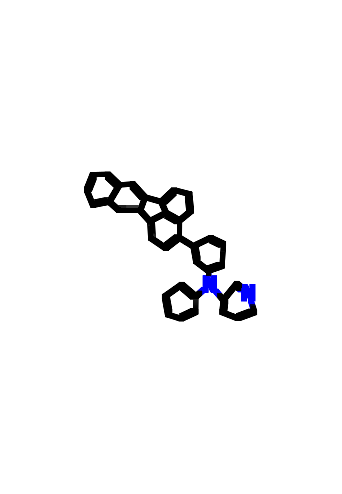 c1ccc(N(c2cccnc2)c2cccc(-c3ccc4c5c(cccc35)-c3cc5ccccc5cc3-4)c2)cc1